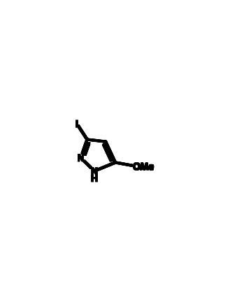 COc1cc(I)n[nH]1